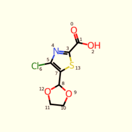 O=C(O)c1nc(Cl)c(C2OCCO2)s1